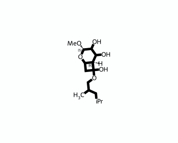 CO[C@H]1OC2CC(O)(OCC(C)CC(C)C)[C@@H]2C(O)C1O